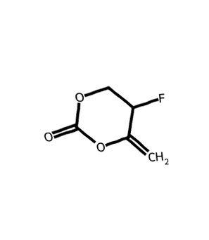 C=C1OC(=O)OCC1F